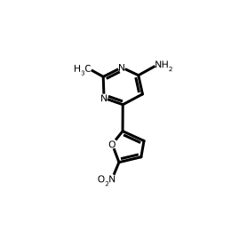 Cc1nc(N)cc(-c2ccc([N+](=O)[O-])o2)n1